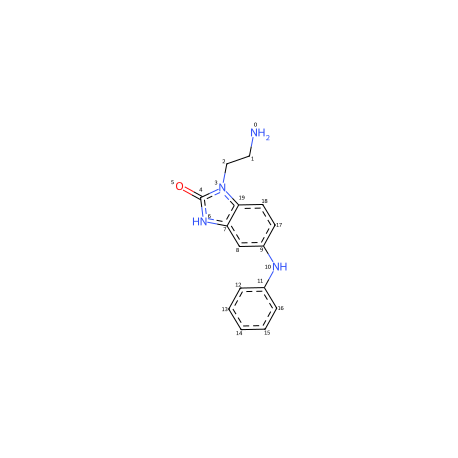 NCCn1c(=O)[nH]c2cc(Nc3ccccc3)ccc21